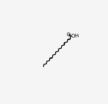 CCCCCC=CCCCCCCCC=CCC=CC(=O)O